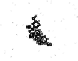 COc1cccc([C@@]2(O)CC[C@]3(O)[C@@H]4CC[C@@H]5C[C@@H](O)CC[C@]5(C)[C@H]4CC[C@]23C)c1